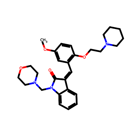 COc1ccc(OCCN2CCCCC2)c(C=C2C(=O)N(CN3CCOCC3)c3ccccc32)c1